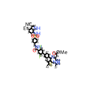 CCc1ccc(NS(=O)(=O)c2ccc(CNC(=O)c3cc(F)c(-c4ccc(C5=N[C@@H](CC(=O)OC)c6nnc(C)n6-c6sc(C)c(C)c65)cc4)cc3F)cc2)c2[nH]cc(C#N)c12